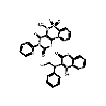 CC(=O)CC(c1ccccc1)c1c(O)c2ccccc2oc1=O.CN1c2c(oc(=O)n(-c3ccccn3)c2=O)-c2ccccc2S1(=O)=O